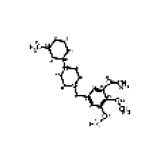 COc1cc(CN2CCN(C3CCCC(C)C3)CC2)cc(OC)c1OC